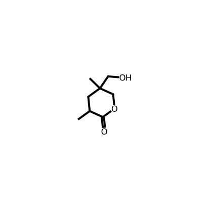 CC1CC(C)(CO)COC1=O